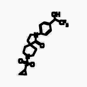 O=C1N(c2ccc(C(O)C(F)(F)F)cc2)CCC12CCN(S(=O)(=O)C1CC1)CC2